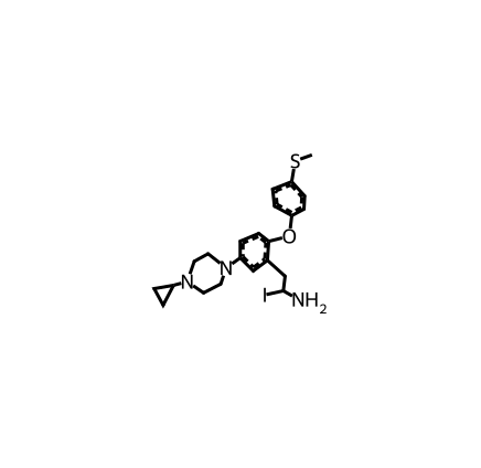 CSc1ccc(Oc2ccc(N3CCN(C4CC4)CC3)cc2CC(N)I)cc1